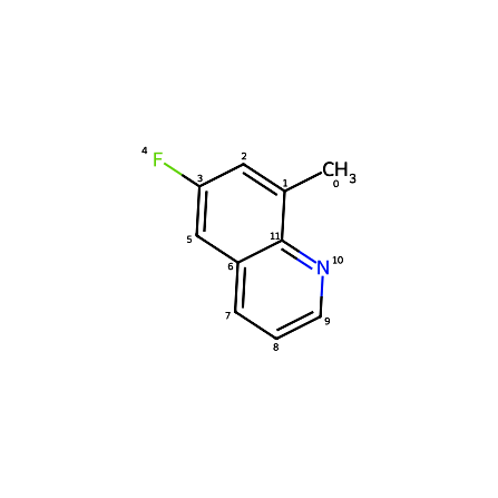 Cc1cc(F)cc2cccnc12